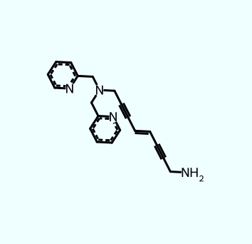 NCC#CC=CC#CCN(Cc1ccccn1)Cc1ccccn1